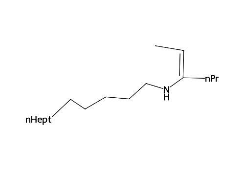 CC=C(CCC)NCCCCCCCCCCCC